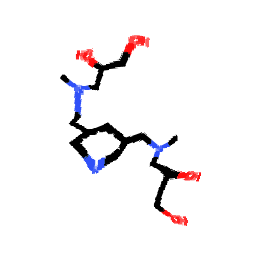 CN(Cc1cncc(CN(C)CC(O)CO)c1)CC(O)CO